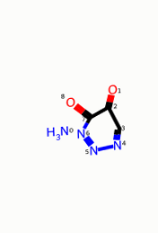 N.O=C1C=NN=NC1=O